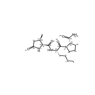 CSCC[C@H](NC(=O)[C@H]1NC(=O)C[C@H]1C)C(=O)N1CCC[C@H]1C(N)=O